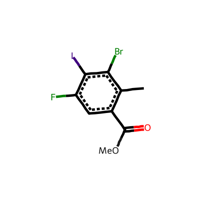 COC(=O)c1cc(F)c(I)c(Br)c1C